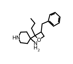 CCCC1(C2(N)CCNCC2)OCC1Cc1ccccc1